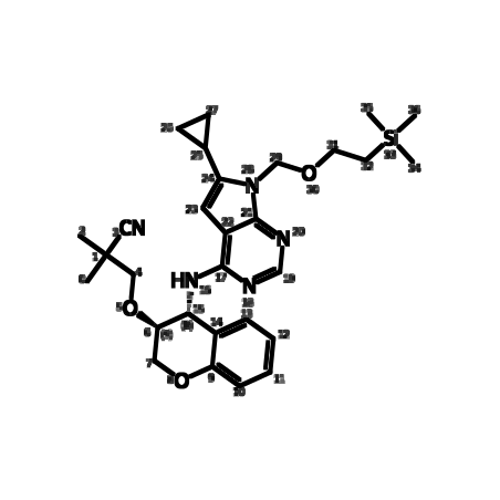 CC(C)(C#N)CO[C@@H]1COc2ccccc2[C@H]1Nc1ncnc2c1cc(C1CC1)n2COCC[Si](C)(C)C